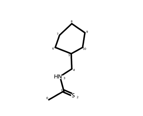 CC(=S)NCC1CCCCC1